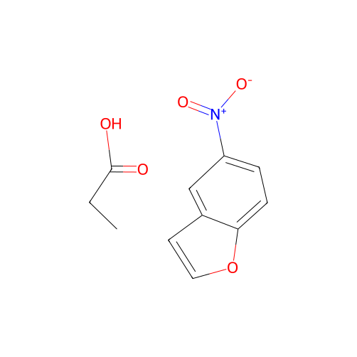 CCC(=O)O.O=[N+]([O-])c1ccc2occc2c1